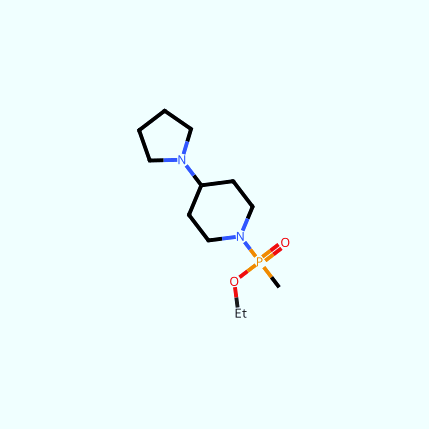 CCOP(C)(=O)N1CCC(N2CCCC2)CC1